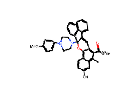 COC(=O)c1c2c(c3ccc(C#N)cc3c1C)OC(c1ccccc1)(N1CCN(c3ccc(OC)cc3)CC1)C(c1ccccc1)=C2